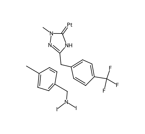 Cc1ccc(CN(I)I)cc1.Cn1nc(Cc2ccc(C(F)(F)F)cc2)[nH][c]1=[Pt]